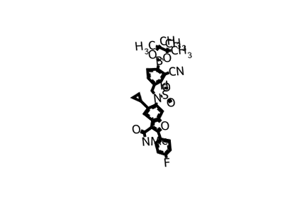 CNC(=O)c1c(-c2ccc(F)cc2)oc2cc(N(Cc3ccc(B4OC(C)(C)C(C)(C)O4)c(C#N)c3)[SH](=O)=O)c(C3CC3)cc12